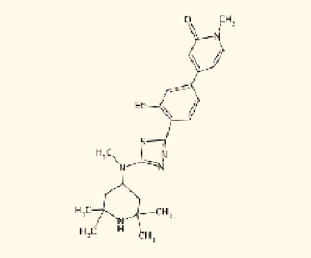 CCc1cc(-c2ccn(C)c(=O)c2)ccc1-c1nnc(N(C)C2CC(C)(C)NC(C)(C)C2)s1